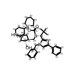 CC(C)(C)[C@H](c1nc(-c2ccccc2)cn1Cc1ccccc1)N(C[C@@H]1CNC[C@H]1O)C(=O)O[N+]1(C2CCNCC2)CCCCC1